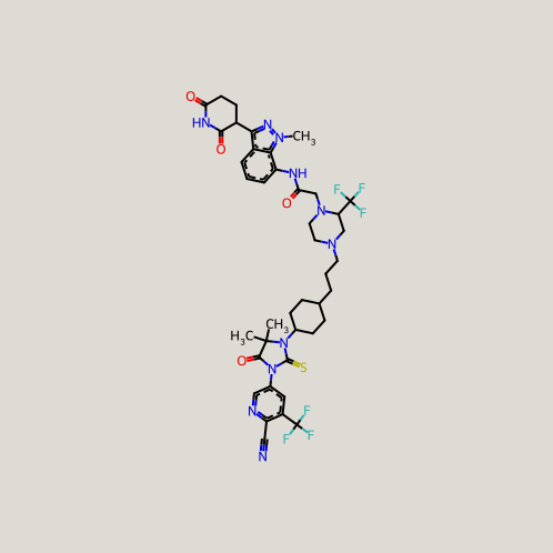 Cn1nc(C2CCC(=O)NC2=O)c2cccc(NC(=O)CN3CCN(CCCC4CCC(N5C(=S)N(c6cnc(C#N)c(C(F)(F)F)c6)C(=O)C5(C)C)CC4)CC3C(F)(F)F)c21